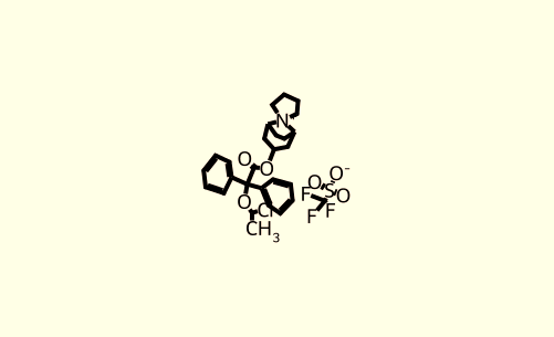 CC(Cl)OC(C(=O)OC1CC2CCC(C1)[N+]21CCCC1)(c1ccccc1)c1ccccc1.O=S(=O)([O-])C(F)(F)F